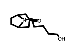 O=C1CC2CCC(C1)N2CCCCCO